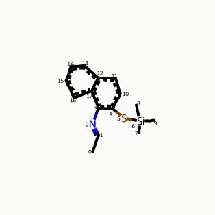 CC=Nc1c(S[Si](C)(C)C)ccc2ccccc12